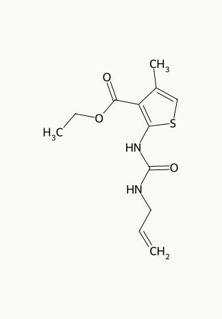 C=CCNC(=O)Nc1scc(C)c1C(=O)OCC